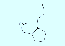 COCC1CCCN1CCF